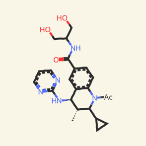 CC(=O)N1c2ccc(C(=O)NC(CO)CO)cc2[C@H](Nc2ncccn2)[C@@H](C)C1C1CC1